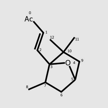 CC(=O)C=CC12OC(CC1C)CC2(C)C